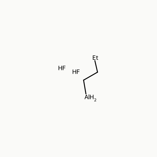 CCC[CH2][AlH2].F.F